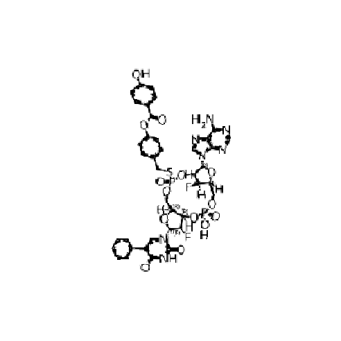 Nc1ncnc2c1ncn2[C@@H]1O[C@@H]2COP(=O)(O)O[C@H]3[C@@H](F)[C@H](n4cc(-c5ccccc5)c(=O)[nH]c4=O)O[C@@H]3COP(=O)(SCc3ccc(OC(=O)c4ccc(O)cc4)cc3)O[C@@H]1[C@@H]2F